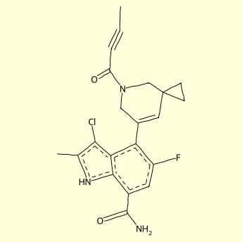 CC#CC(=O)N1CC(c2c(F)cc(C(N)=O)c3[nH]c(C)c(Cl)c23)=CC2(CC2)C1